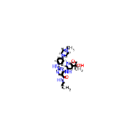 C=CCNC(=O)c1cnc(Nc2ccc(N3CCN(C)CC3)cc2)nc1Nc1cnc2c(c1)[C@@](C)(O)CO2